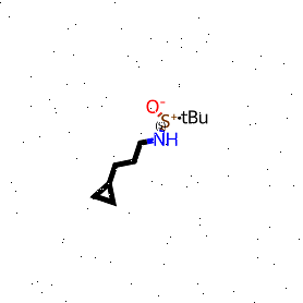 CC(C)(C)[S@@+]([O-])NCCCC1CC1